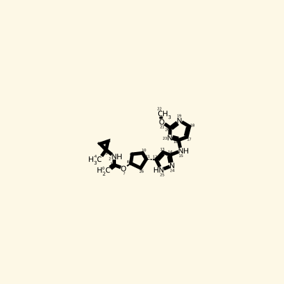 C=C(NC1(C)CC1)O[C@@H]1CC[C@H](c2cc(Nc3ccnc(OC)n3)n[nH]2)C1